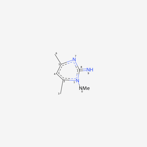 CNn1c(C)cc(C)nc1=N